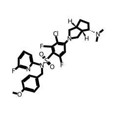 COc1ccc(CN(c2cccc(F)n2)S(=O)(=O)c2c(F)cc(N3C[C@@H]4CC[C@H](N(C)C)[C@@H]4C3)c(Cl)c2F)cc1